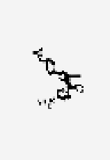 Cc1cc(-c2ccc(CN(C)C)cc2)sc1C(=O)N1CC[C@H](N)C1